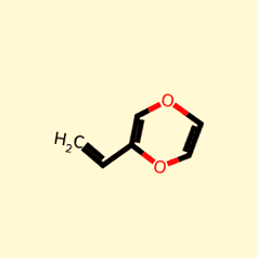 C=CC1=COC=CO1